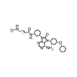 Nc1ncnc2c1n(-c1ccc(Oc3ccccc3)cc1)c(=O)n2-c1cccc(NC(=O)/C=C/CNC2CC2)c1